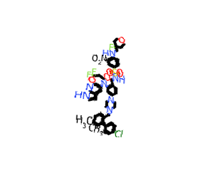 CC1(C)CCC(CN2CCN(c3ccc(C(=O)NS(=O)(=O)c4ccc(NCC5(F)CCOCC5)c([N+](=O)[O-])c4)c(N4CCC(F)(F)Oc5nc6[nH]ccc6cc54)c3)CC2)=C(c2ccc(Cl)cc2)C1